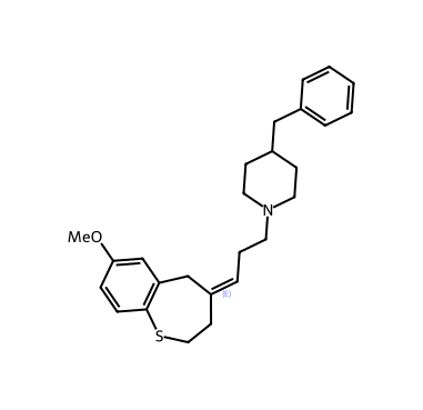 COc1ccc2c(c1)C/C(=C\CCN1CCC(Cc3ccccc3)CC1)CCS2